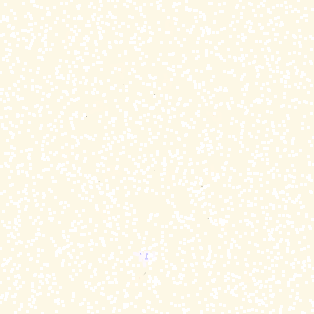 CCCC(=O)NCCCOCC(CC(C)(C)OCCC(C)(C)OCC(CC(C)(C)OCCC(C)(C)OC)C(C)(C)OCCC(C)(C)OC)C(C)(C)OCCC(C)(C)OCC(CC(C)(C)OCCC(C)(C)OC)C(C)(C)OCCC(C)(C)OC